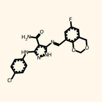 NC(=O)c1c(Nc2ccc(Cl)cc2)n[nH]c1/N=C/c1cc(F)cc2c1OCOC2